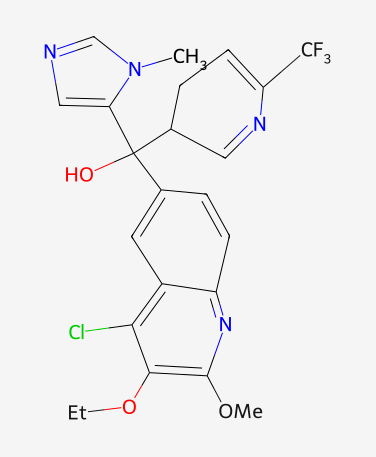 CCOc1c(OC)nc2ccc(C(O)(c3cncn3C)C3C=NC(C(F)(F)F)=CC3)cc2c1Cl